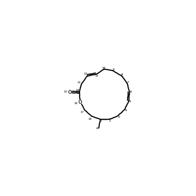 CC1CCC/C=C\CCCC/C=C/CC(=O)OCC1